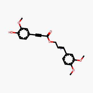 COc1cc(C#CC(=O)OC/C=C/c2ccc(OC)c(OC)c2)ccc1O